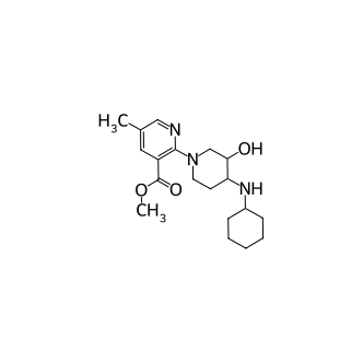 COC(=O)c1cc(C)cnc1N1CCC(NC2CCCCC2)C(O)C1